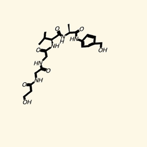 CC(C)[C@H](NC(=O)CNC(=O)CNC(=O)CCO)C(=O)N[C@@H](C)C(=O)Nc1ccc(CO)cc1